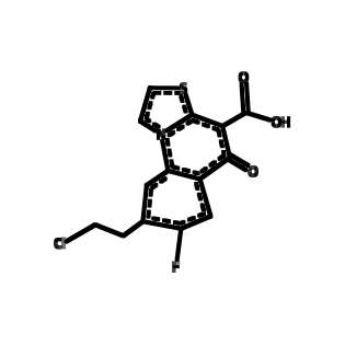 O=C(O)c1c(=O)c2cc(F)c(CCCl)cc2n2ccsc12